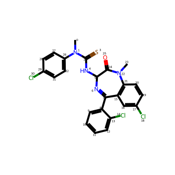 CN(C(=S)NC1N=C(c2ccccc2Cl)c2cc(Cl)ccc2N(C)C1=O)c1ccc(Cl)cc1